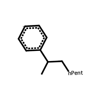 CCCCCCC(C)c1cc[c]cc1